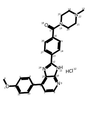 COc1ccc(-c2ccnc3[nH]c(-c4ccc(C(=O)N5CCN(C)CC5)cc4)nc23)cc1.Cl